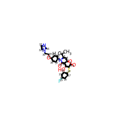 CC(C)c1cc2oc(=O)c(Sc3ccc(F)cc3)c(O)c2c(=O)n1-c1ccc(OCCn2ccnc2)cc1